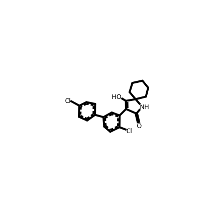 O=C1NC2(CCCCC2)C(O)=C1c1cc(-c2ccc(Cl)cc2)ccc1Cl